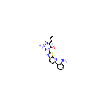 C=C/C=C(/C(=O)Nc1nc2ccc(-c3ccccc3N)nc2s1)N(C)N